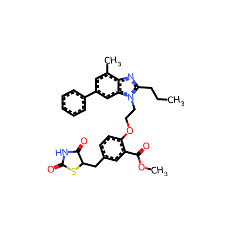 CCCc1nc2c(C)cc(-c3ccccc3)cc2n1CCOc1ccc(CC2SC(=O)NC2=O)cc1C(=O)OC